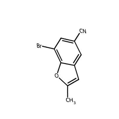 Cc1cc2cc(C#N)cc(Br)c2o1